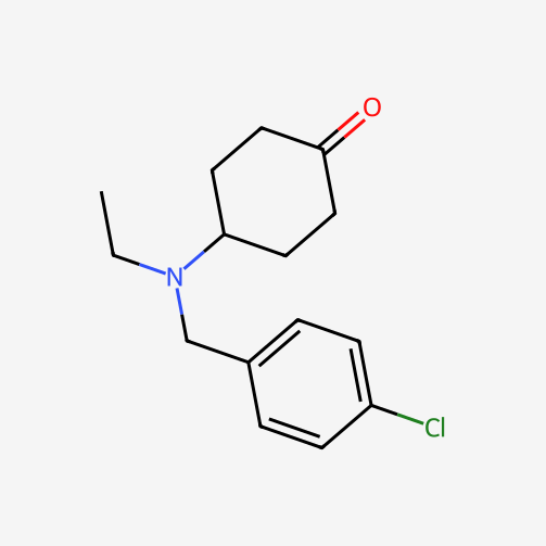 CCN(Cc1ccc(Cl)cc1)C1CCC(=O)CC1